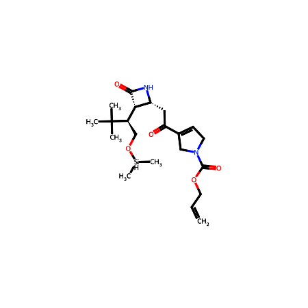 C=CCOC(=O)N1CC=C(C(=O)C[C@H]2NC(=O)[C@H]2[C@@H](CO[SiH](C)C)C(C)(C)C)C1